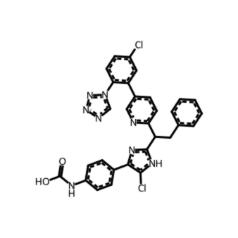 O=C(O)Nc1ccc(-c2nc(C(Cc3ccccc3)c3ccc(-c4cc(Cl)ccc4-n4cnnn4)cn3)[nH]c2Cl)cc1